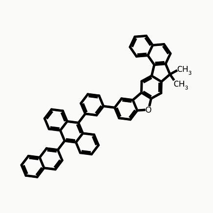 CC1(C)c2cc3oc4ccc(-c5cccc(-c6c7ccccc7c(-c7ccc8ccccc8c7)c7ccccc67)c5)cc4c3cc2-c2c1ccc1ccccc21